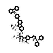 CCC(CC(C)(C#N)C(=O)Oc1ccc2c(c1)C(C)(C)c1cc(-c3ccc(-n4c5ccccc5c5ccccc54)cc3)ccc1-2)c1ccc(-c2ccc(N(c3ccccc3)c3ccccc3)s2)cc1